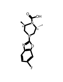 C[C@@H]1CN(c2nc3ccc(F)cc3o2)C[C@@H](C)N1C(=O)O